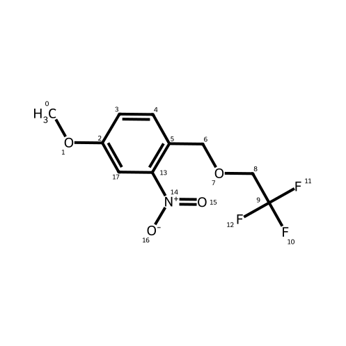 COc1ccc(COCC(F)(F)F)c([N+](=O)[O-])c1